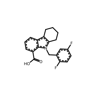 O=C(O)c1cccc2c3c(n(Cc4cc(F)ccc4F)c12)CCCC3